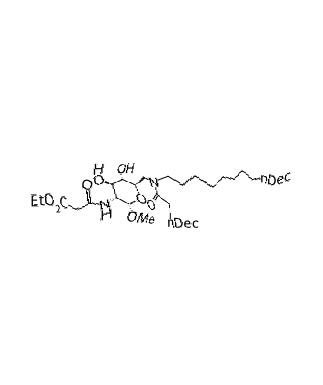 CCCCCCCCCCCCCCCCCCN(C[C@H]1O[C@H](OC)[C@H](NC(=O)CC(=O)OCC)[C@@H](O)[C@@H]1O)C(=O)CCCCCCCCCCC